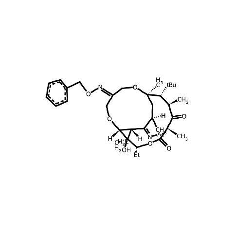 CC[C@H]1OC(=O)[C@H](C)C(=O)[C@H](C)[C@@H](C(C)(C)C)[C@@]2(C)C[C@@H](C)/C(=N\C(C)=O)[C@H](C)[C@@H](OC/C(=N\OCc3ccccc3)CO2)[C@]1(C)O